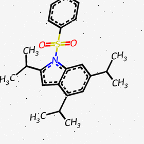 CC(C)c1cc(C(C)C)c2cc(C(C)C)n(S(=O)(=O)c3ccccc3)c2c1